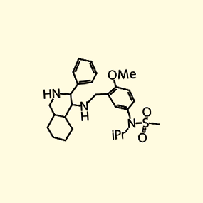 COc1ccc(N(C(C)C)S(C)(=O)=O)cc1CNC1C(c2ccccc2)NCC2CCCCC21